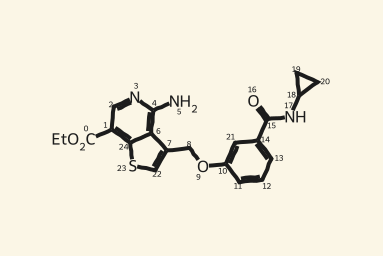 CCOC(=O)c1cnc(N)c2c(COc3cccc(C(=O)NC4CC4)c3)csc12